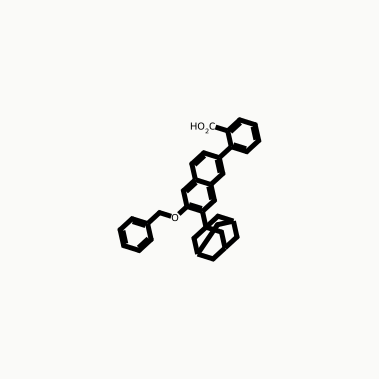 O=C(O)c1ccccc1-c1ccc2cc(OCc3ccccc3)c(C34CC5CC(CC(C5)C3)C4)cc2c1